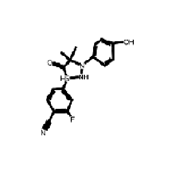 CC1(C)C(=O)[SH](c2ccc(C#N)c(F)c2)NN1c1ccc(O)cc1